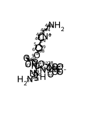 C[n+]1cc(-c2ccc(OC[C@H](O/N=C(\C(=O)NC3C(=O)N(OS(=O)(=O)[O-])C3(C)C)c3csc(N)n3)C(=O)O)cc2)ccc1CCCN